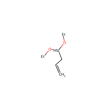 C=CC[SiH](OCC)OCC